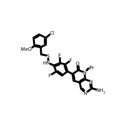 COc1ccc(Cl)cc1CSNc1c(F)cc(-c2cc3cnc(N)nc3n(C(C)C)c2=O)c(F)c1F